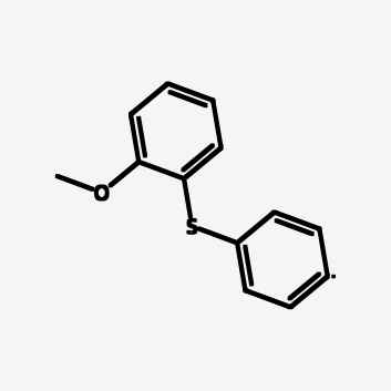 COc1ccccc1Sc1cc[c]cc1